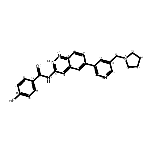 O=C(Nc1cc2cc(-c3cncc(CN4CCCC4)c3)ccc2nn1)c1ccc(F)cc1